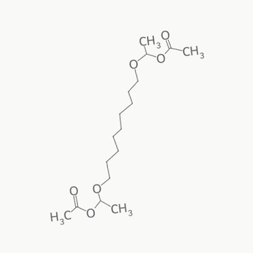 CC(=O)OC(C)OCCCCCCCCCOC(C)OC(C)=O